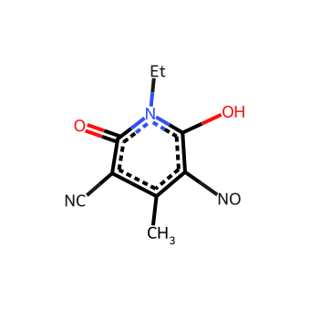 CCn1c(O)c(N=O)c(C)c(C#N)c1=O